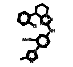 COc1cc(Nc2nc3n(n2)CCCC3c2ccccc2Cl)ccc1-n1cnc(C)c1